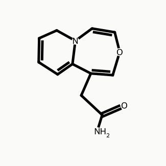 NC(=O)CC1=COC=CN2CC=CC=C12